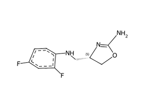 NC1=N[C@@H](CNc2ccc(F)cc2F)CO1